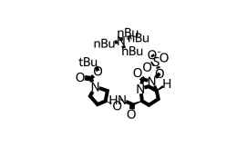 CC(C)(C)OC(=O)N1CC[C@@H](ONC(=O)[C@@H]2CC[C@@H]3CN2C(=O)N3OS(=O)(=O)[O-])C1.CCCC[N+](CCCC)(CCCC)CCCC